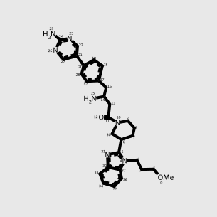 COCCCn1c(C2CCCN(C(=O)CC(N)Cc3ccc(-c4cnc(N)nc4)cc3)C2)nc2ccccc21